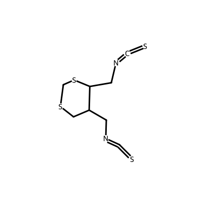 S=C=NCC1CSCSC1CN=C=S